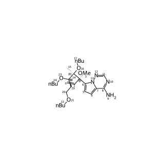 C=C[C@](OC)(c1ccc2c(N)ncnn12)[C@](C)(OCCCC)[C@@H](CCOCCCC)OCCCC